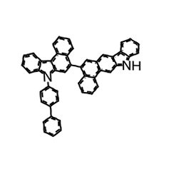 c1ccc(-c2ccc(-n3c4ccccc4c4c5ccccc5c(-c5cc6cc7c(cc6c6ccccc56)[nH]c5ccccc57)cc43)cc2)cc1